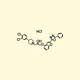 Cl.O[C@H](COc1cccc2oc(-c3nnc(-c4ccccc4)o3)cc12)CN1CCC(c2ccc(Cl)c(Cl)c2)CC1